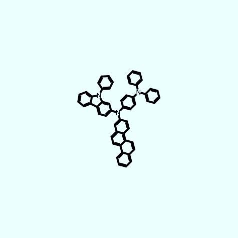 c1ccc(N(c2ccccc2)c2ccc(N(c3ccc4c(ccc5c6ccccc6ccc45)c3)c3ccc4c5ccccc5n(-c5ccccc5)c4c3)cc2)cc1